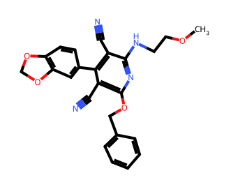 COCCNc1nc(OCc2ccccc2)c(C#N)c(-c2ccc3c(c2)OCO3)c1C#N